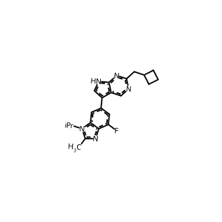 Cc1nc2c(F)cc(-c3c[nH]c4nc(CC5CCC5)ncc34)cc2n1C(C)C